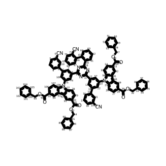 N#Cc1cccc(-c2cc(-c3nc(-c4cc(-c5cccc(C#N)c5)cc(-n5c6ccc(C(=O)OCc7ccccc7)cc6c6cc(C(=O)OCc7ccccc7)ccc65)c4)nc(-c4ccccc4-c4ccccc4C#N)n3)cc(-n3c4ccc(C(=O)OCc5ccccc5)cc4c4cc(C(=O)OCc5ccccc5)ccc43)c2)c1